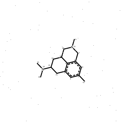 Cc1cc2c3c(c1)CN(C)CC3CC(N(C)C)C2